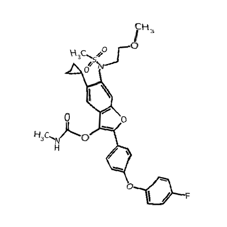 CNC(=O)Oc1c(-c2ccc(Oc3ccc(F)cc3)cc2)oc2cc(N(CCOC)S(C)(=O)=O)c(C3CC3)cc12